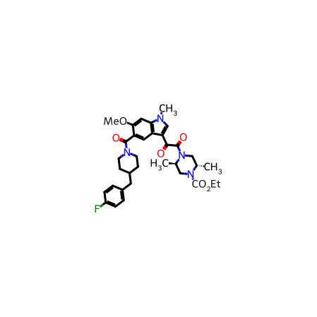 CCOC(=O)N1C[C@@H](C)N(C(=O)C(=O)c2cn(C)c3cc(OC)c(C(=O)N4CCC(Cc5ccc(F)cc5)CC4)cc23)C[C@@H]1C